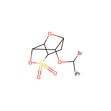 CC(C)C(Br)OC1C2CC3C(O2)C1OS3(=O)=O